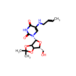 C/C=C/CNc1cn([C@@H]2O[C@H](CO)C3OC(C)(C)OC32)c(=O)[nH]c1=O